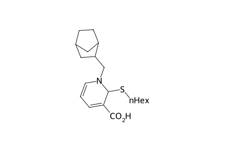 CCCCCCSC1C(C(=O)O)=CC=CN1CC1CC2CCC1C2